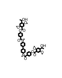 COc1cc(C(C)O)c(OC)cc1C(=O)Oc1ccc(C(=O)N(C)c2ccc(-c3ccc(N(C)C(=O)c4ccc(OC(=O)c5cc(OC)c(C(C)O)cc5OC)cc4)cc3)cc2)cc1